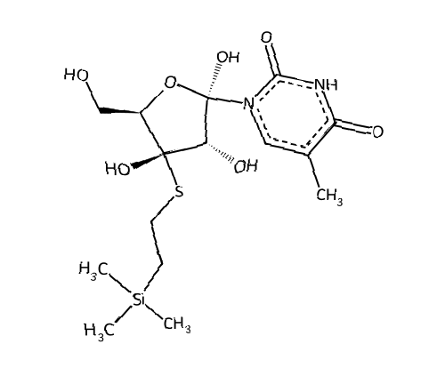 Cc1cn([C@]2(O)O[C@H](CO)[C@@](O)(SCC[Si](C)(C)C)[C@H]2O)c(=O)[nH]c1=O